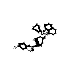 Cc1ccc(CN(C=O)C2CCC(CN([C@@H]3CCCc4ccccc43)S(=O)(=O)c3ccccc3)CC2)cc1